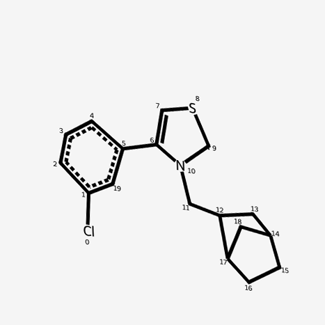 Clc1cccc(C2=CS[CH]N2CC2CC3CCC2C3)c1